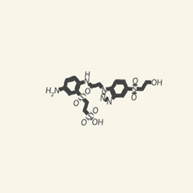 Nc1ccc(NCCn2nnc3cc(S(=O)(=O)CCO)ccc32)c(S(=O)(=O)CCS(=O)(=O)O)c1